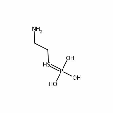 NCC[SH]=P(O)(O)O